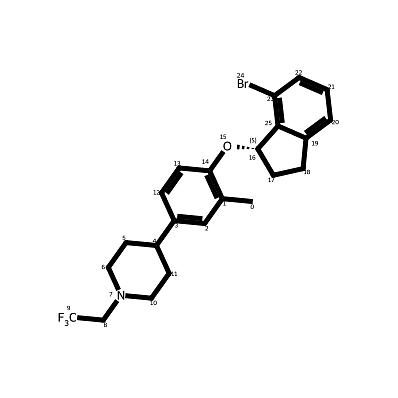 Cc1cc(C2CCN(CC(F)(F)F)CC2)ccc1O[C@H]1CCc2cccc(Br)c21